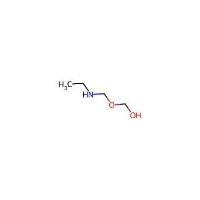 CCNCOCO